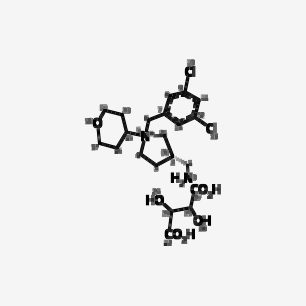 NC[C@@H]1CC[N+](Cc2cc(Cl)cc(Cl)c2)(C2CCOCC2)C1.O=C(O)C(O)C(O)C(=O)O